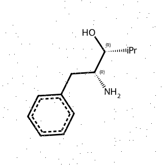 CC(C)[C@@H](O)[C@H](N)Cc1ccccc1